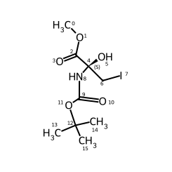 COC(=O)[C@](O)(CI)NC(=O)OC(C)(C)C